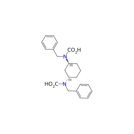 O=C(O)N(Cc1ccccc1)[C@H]1CCC[C@H](N(Cc2ccccc2)C(=O)O)C1